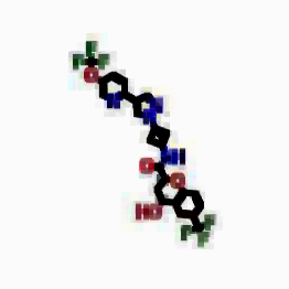 O=C(NC12CC(n3cc(-c4ccc(OC(F)(F)F)cn4)cn3)(C1)C2)[C@@H]1C[C@H](O)c2cc(C(F)(F)F)ccc2O1